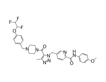 COc1ccc(NC(=O)c2ccc(Cn3nnc(C)c3C(=O)N3CCN(Cc4ccc(OC(F)C(F)F)cc4)CC3)cn2)cc1